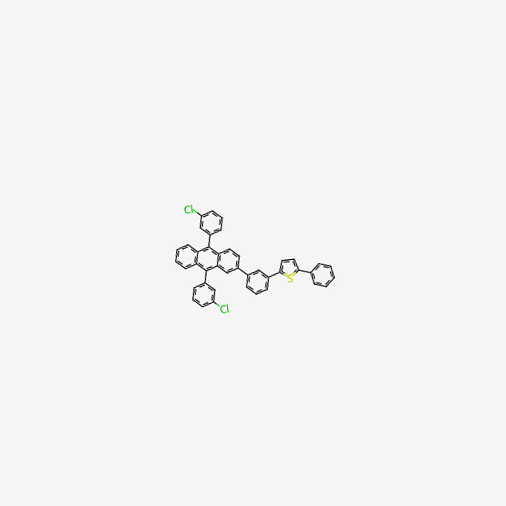 Clc1cccc(-c2c3ccccc3c(-c3cccc(Cl)c3)c3cc(-c4cccc(-c5ccc(-c6ccccc6)s5)c4)ccc23)c1